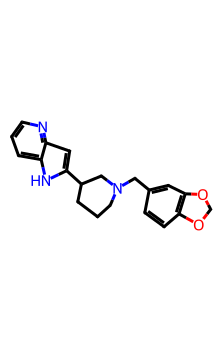 c1cnc2cc(C3CCCN(Cc4ccc5c(c4)OCO5)C3)[nH]c2c1